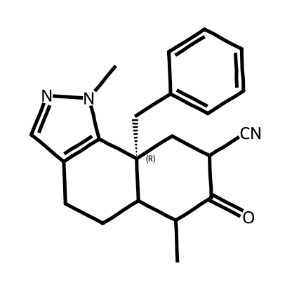 CC1C(=O)C(C#N)C[C@]2(Cc3ccccc3)c3c(cnn3C)CCC12